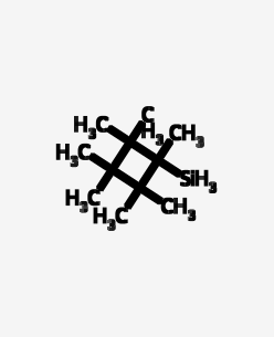 CC1(C)C(C)(C)C(C)([SiH3])C1(C)C